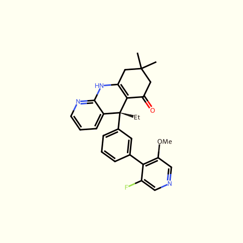 CC[C@]1(c2cccc(-c3c(F)cncc3OC)c2)C2=C(CC(C)(C)CC2=O)Nc2ncccc21